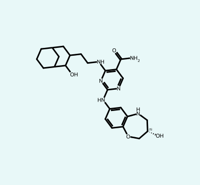 NC(=O)c1cnc(Nc2ccc3c(c2)NC[C@H](O)CO3)nc1NCCC1CC2CCCC(C2)C1O